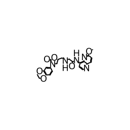 COc1ccc2nccc(NC(=O)CNCC3CN(c4ccc5c(c4)OCCO5)C(=O)O3)c2n1